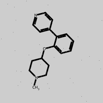 CN1CCC(Oc2ccccc2-c2ccncc2)CC1